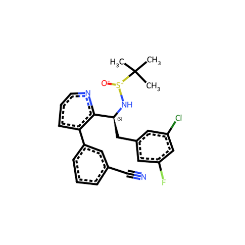 CC(C)(C)[S+]([O-])N[C@@H](Cc1cc(F)cc(Cl)c1)c1ncccc1-c1cccc(C#N)c1